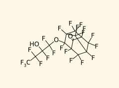 O=C1C2(F)C(F)(F)C3(F)C(F)(F)C1(F)C(F)(OC(F)(F)C(O)(F)C(F)(F)C(F)(F)F)C(F)(C2(F)F)C3(F)F